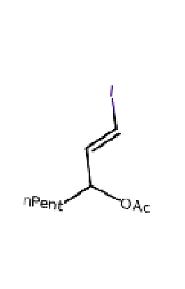 CCCCCC(/C=C/I)OC(C)=O